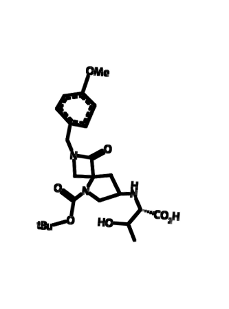 COc1ccc(CN2CC3(CC(N[C@H](C(=O)O)C(C)O)CN3C(=O)OC(C)(C)C)C2=O)cc1